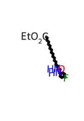 CCOC(=O)CCCCCCCCCCCCCCCNC(=O)Nc1ccc(F)cc1